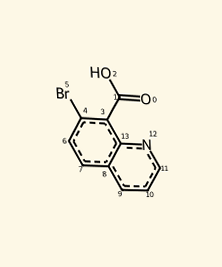 O=C(O)c1c(Br)ccc2cccnc12